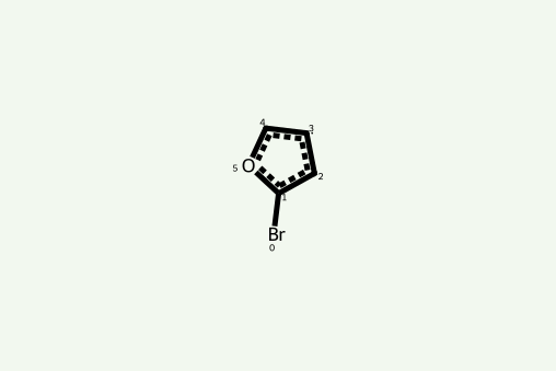 Brc1c[c]co1